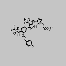 NC(=O)c1c(-c2ccc(NS(=O)(=O)C(F)F)c(OCCc3ccc(F)cc3)c2)n[nH]c1Nc1ccn(CCC(=O)O)n1